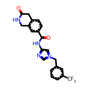 O=C1Cc2ccc(C(=O)Nc3cn(Cc4cccc(C(F)(F)F)c4)cn3)cc2CN1